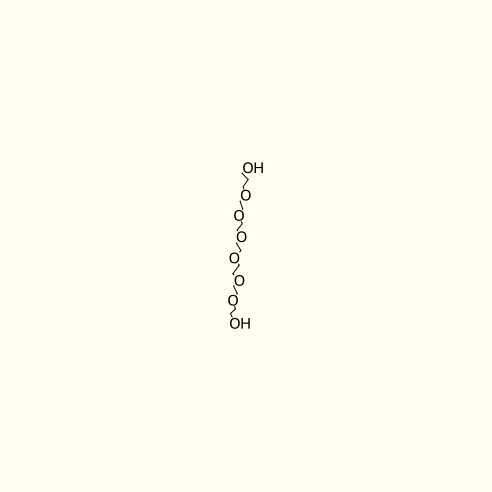 OCCCOCCOCCOCCOCCOCCOCCO